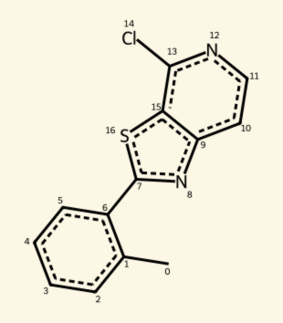 Cc1ccccc1-c1nc2ccnc(Cl)c2s1